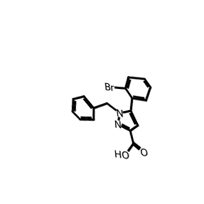 O=C(O)c1cc(-c2ccccc2Br)n(Cc2ccccc2)n1